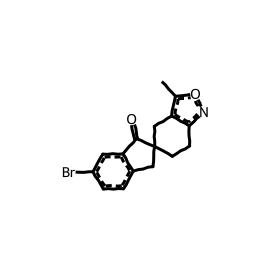 Cc1onc2c1CC1(CC2)Cc2ccc(Br)cc2C1=O